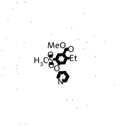 CCc1cc(Oc2cccnc2)c(S(C)(=O)=O)cc1C(=O)OC